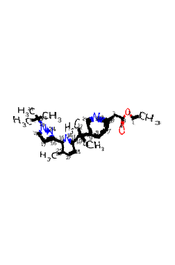 CCOC(=O)Cc1ccc(C(C)(C)C2=NC(c3ccn(C(C)(C)C)n3)C(C)C=C2)cn1